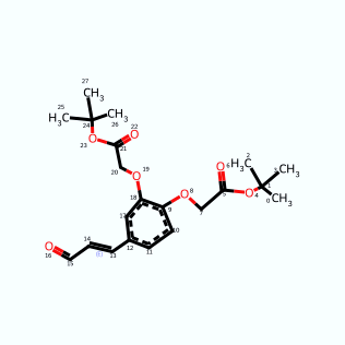 CC(C)(C)OC(=O)COc1ccc(/C=C/C=O)cc1OCC(=O)OC(C)(C)C